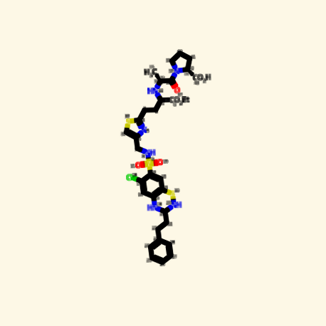 CCOC(=O)C(CCc1nc(CNS(=O)(=O)c2cc3c(cc2Cl)NC(CCc2ccccc2)NS3)cs1)N[C@@H](C)C(=O)N1CCC[C@H]1C(=O)O